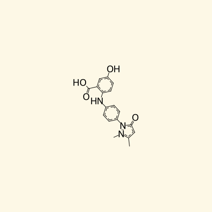 Cc1cc(=O)n(-c2ccc(Nc3ccc(O)cc3C(=O)O)cc2)n1C